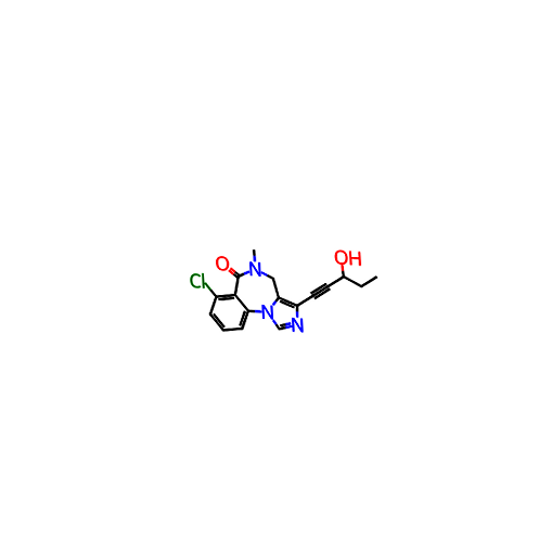 CCC(O)C#Cc1ncn2c1CN(C)C(=O)c1c(Cl)cccc1-2